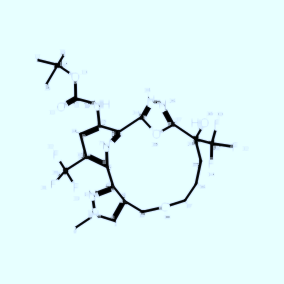 Cn1cc2c(n1)-c1nc(c(NC(=O)OC(C)(C)C)cc1C(F)(F)F)-c1nnc(o1)C(O)(C(F)(F)F)CCCCC2